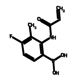 C=CC(=O)Nc1c(B(O)O)ccc(F)c1C